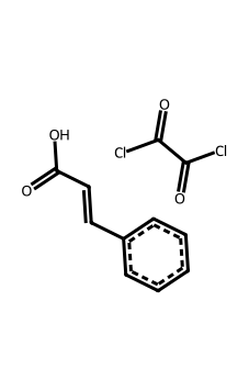 O=C(Cl)C(=O)Cl.O=C(O)C=Cc1ccccc1